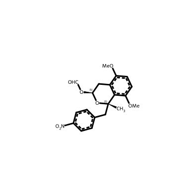 COc1ccc(OC)c2c1C[C@H](OC=O)O[C@@]2(C)Cc1ccc([N+](=O)[O-])cc1